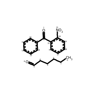 CCCCCC=O.O=C(c1ccccc1)c1ccccc1[N+](=O)[O-]